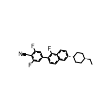 CC[C@H]1CC[C@H](c2ccc3c(F)c(-c4cc(F)c(C#N)c(F)c4)ccc3c2)CC1